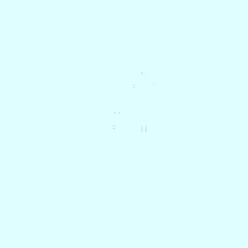 CCC(C)(COC(=O)C1CCCCC1)C(=O)OCCC(C)(F)F